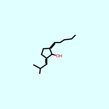 CCCCC=C1CCC(=CC(C)C)C1O